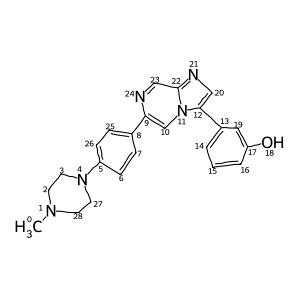 CN1CCN(c2ccc(-c3cn4c(-c5cccc(O)c5)cnc4cn3)cc2)CC1